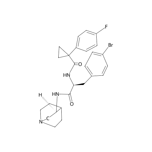 O=C(N[C@@H]1CN2CCC1CC2)[C@H](Cc1ccc(Br)cc1)NC(=O)C1(c2ccc(F)cc2)CC1